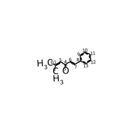 CC(C)=CC(=O)C=Cc1ccccc1